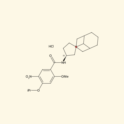 COc1cc(OC(C)C)c([N+](=O)[O-])cc1C(=O)N[C@H]1CCN(C2C3CCCC2CCC3)C1.Cl